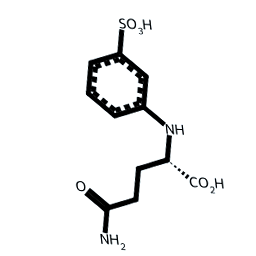 NC(=O)CC[C@H](Nc1cccc(S(=O)(=O)O)c1)C(=O)O